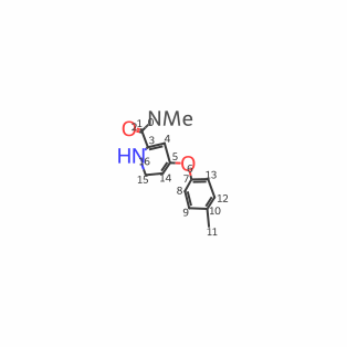 CNC(=O)C1=CC(Oc2ccc(C)cc2)=CCN1